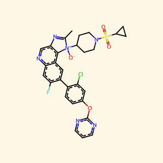 CC1=Nc2cnc3cc(F)c(-c4ccc(Oc5ncccn5)cc4Cl)cc3c2[N+]1([O-])C1CCN(S(=O)(=O)C2CC2)CC1